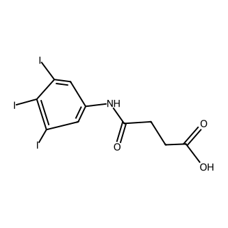 O=C(O)CCC(=O)Nc1cc(I)c(I)c(I)c1